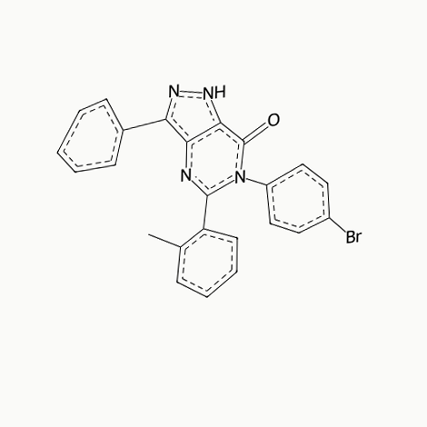 Cc1ccccc1-c1nc2c(-c3ccccc3)n[nH]c2c(=O)n1-c1ccc(Br)cc1